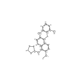 COc1ccc2c(Cc3c(Cl)cncc3Cl)nncc2c1OC1CCCC1